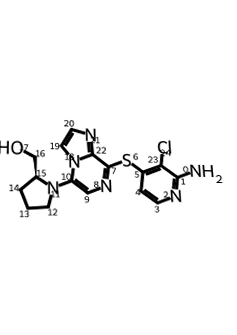 Nc1nccc(Sc2ncc(N3CCC[C@H]3CO)n3ccnc23)c1Cl